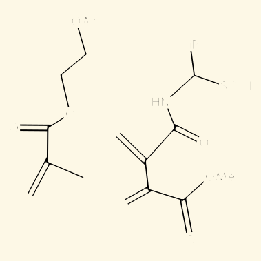 C=C(C(=C)C(=O)OC)C(=O)NC(C(C)C)S(=O)(=O)O.C=C(C)C(=O)OCCOC(C)=O